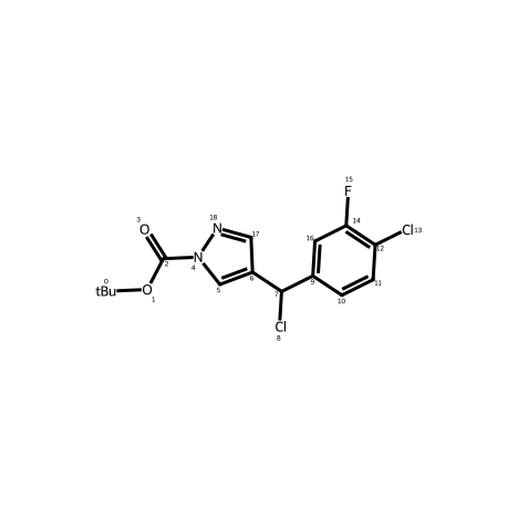 CC(C)(C)OC(=O)n1cc(C(Cl)c2ccc(Cl)c(F)c2)cn1